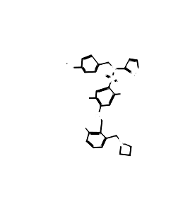 COc1ccc(CN(c2ccon2)S(=O)(=O)c2cc(C)c(NCc3c(F)cccc3CN3CCC3)cc2F)cc1